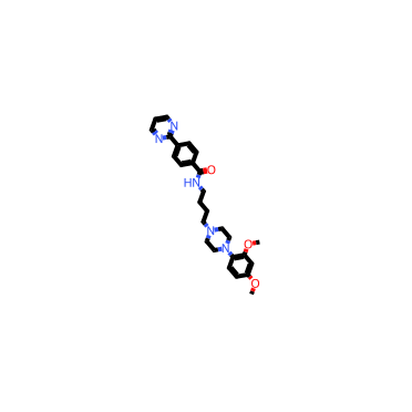 COc1ccc(N2CCN(CCCCNC(=O)c3ccc(-c4ncccn4)cc3)CC2)c(OC)c1